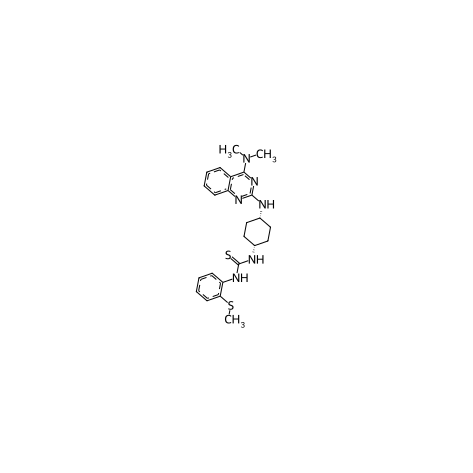 CSc1ccccc1NC(=S)N[C@H]1CC[C@@H](Nc2nc(N(C)C)c3ccccc3n2)CC1